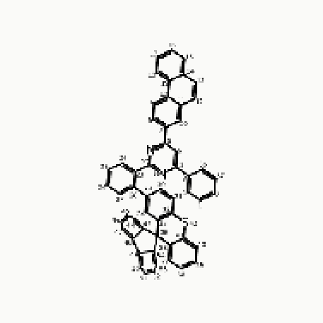 c1ccc(-c2cc(-c3ccc4c(ccc5ccccc54)c3)nc(-c3ccccc3-c3ccc4c(c3)C3(c5ccccc5S4)c4ccccc4-c4ccccc43)n2)cc1